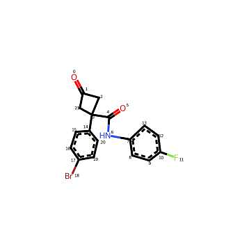 O=C1CC(C(=O)Nc2ccc(F)cc2)(c2ccc(Br)cc2)C1